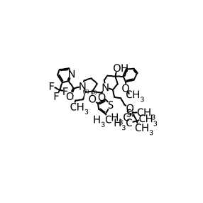 CCC[C@H]1N(C(=O)c2ncccc2C(F)(F)F)CCC[C@@]1(Oc1csc(C)c1)C(=O)N1CCC(O)(c2ccccc2OC)CC1CCCO[Si](C)(C)C(C)(C)C